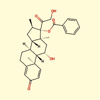 C[C@@H]1C[C@H]2[C@@H]3CCC4=CC(=O)C=C[C@]4(C)[C@H]3[C@@H](O)C[C@]2(C)[C@]1(OC(=O)c1ccccc1)C(=O)CO